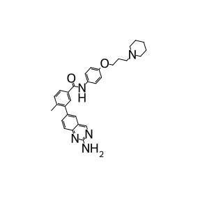 Cc1ccc(C(=O)Nc2ccc(OCCCN3CCCCC3)cc2)cc1-c1ccc2nc(N)ncc2c1